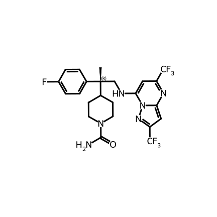 C[C@](CNc1cc(C(F)(F)F)nc2cc(C(F)(F)F)nn12)(c1ccc(F)cc1)C1CCN(C(N)=O)CC1